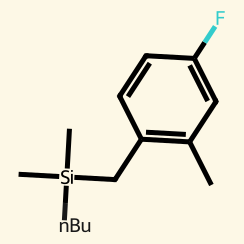 CCCC[Si](C)(C)Cc1ccc(F)cc1C